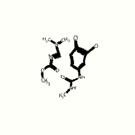 CNC(=O)Nc1ccc(Cl)c(Cl)c1.COC(=O)N=CN(C)C